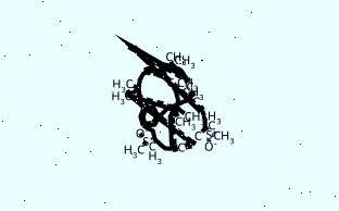 C[S+]([O-])C1(C)Cc2cc3cc(c2)CC(C)(C)Cc2cc4cc(c2)C(C)(C)Cc2cc(cc(c2)CC(C)([S+](C)[O-])Cc2cc(cc(c2)C1)CC(C)(C)C4)CC(C)(C)C3